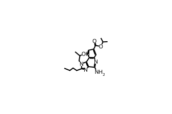 CCCCc1nc2c(N)nc3cc(C(=O)OC(C)C)ccc3c2n1CC(C)O